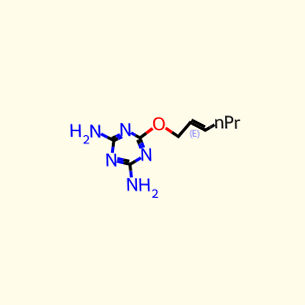 CCC/C=C/COc1nc(N)nc(N)n1